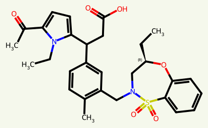 CC[C@@H]1CN(Cc2cc(C(CC(=O)O)c3ccc(C(C)=O)n3CC)ccc2C)S(=O)(=O)c2ccccc2O1